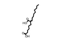 CCCCCCCC/C=C(/CCCCCC(=O)O)C(=O)O